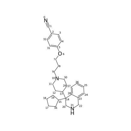 N#Cc1ccc(OCCCN2CCC(C3(C4CCCC4)CNCc4ccccc43)CC2)cc1